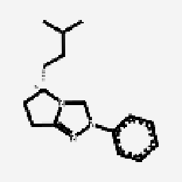 CC(C)CC[C@H]1CCC2=NN(c3ccccc3)CN21